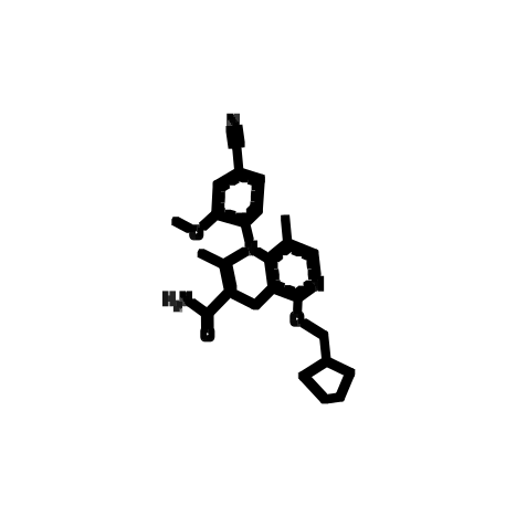 COc1cc(C#N)ccc1N1C(C)=C(C(N)=O)Cc2c(OCC3CCCC3)ncc(C)c21